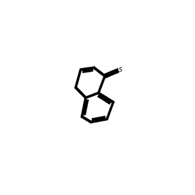 S=C1[C]=CCc2ccccc21